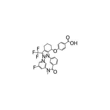 CN(C(=O)c1cccc(-n2nc(C(F)(F)F)c3c2C(Oc2ccc(C(=O)O)cc2)CCC3)c1)c1cncc(F)c1